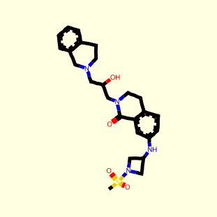 CS(=O)(=O)N1CC(Nc2ccc3c(c2)C(=O)N(CC(O)CN2CCc4ccccc4C2)CC3)C1